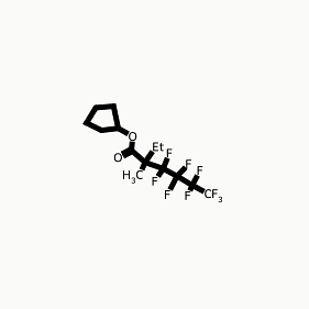 CCC(C)(C(=O)OC1CCCC1)C(F)(F)C(F)(F)C(F)(F)C(F)(F)F